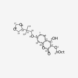 CCCCCCCCOc1c(O)c2ccc(OCC(C)(C)C3COCO3)cc2oc1=O